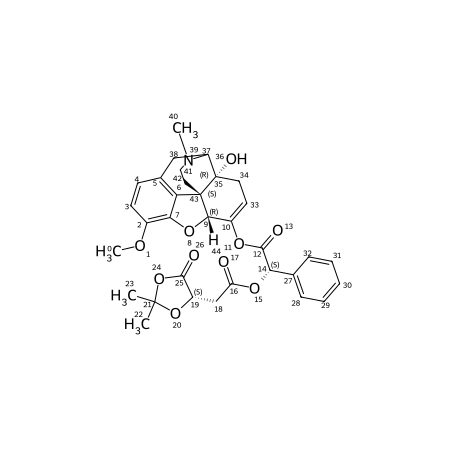 COc1ccc2c3c1O[C@H]1C(OC(=O)[C@@H](OC(=O)C[C@@H]4OC(C)(C)OC4=O)c4ccccc4)=CC[C@]4(O)C(C2)N(C)CC[C@]314